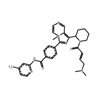 CN(C)C/C=C/C(=O)N1CCCCC1C1=C2C=NC=C[N+]2(C)C(c2ccc(C(=O)Nc3cc(C(F)(F)F)ccn3)cc2)=N1